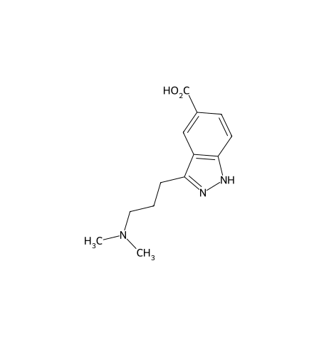 CN(C)CCCc1n[nH]c2ccc(C(=O)O)cc12